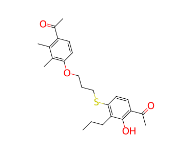 CCCc1c(SCCCOc2ccc(C(C)=O)c(C)c2C)ccc(C(C)=O)c1O